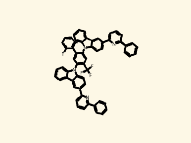 Fc1cccc(F)c1-c1cc(-n2c3ccccc3c3cc(-c4cccc(-c5ccccc5)n4)ccc32)c(C(F)(F)F)cc1-n1c2ccccc2c2cc(-c3cccc(-c4ccccc4)n3)ccc21